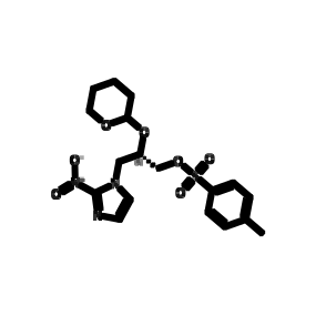 Cc1ccc(S(=O)(=O)OC[C@H](Cn2ccnc2[N+](=O)[O-])OC2CCCCO2)cc1